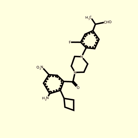 CC(C=O)c1ccc(N2CCN(C(=O)c3cc([N+](=O)[O-])cc(N)c3C3CCC3)CC2)c(F)c1